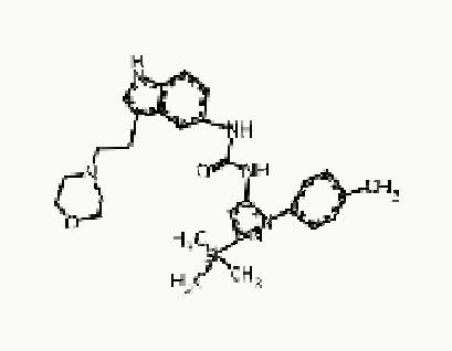 Cc1ccc(-n2nc([Si](C)(C)C)cc2NC(=O)Nc2ccc3[nH]cc(CCN4CCOCC4)c3c2)cc1